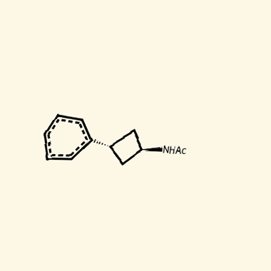 CC(=O)N[C@H]1C[C@H](c2ccccc2)C1